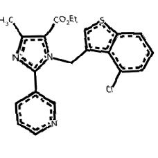 CCOC(=O)c1c(C)nc(-c2cccnc2)n1Cc1csc2cccc(Cl)c12